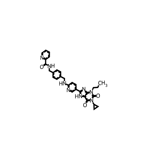 CCCn1c(=O)n(C2CC2)c(=O)c2[nH]c(-c3ccc(NCc4ccc(CNC(=O)c5ccccn5)cc4)nc3)nc21